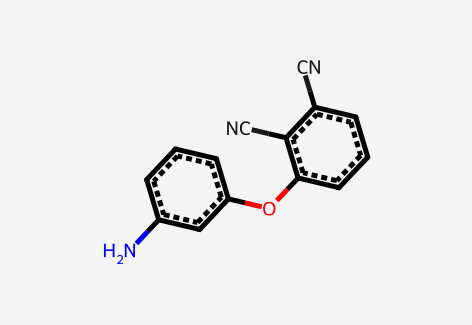 N#Cc1cccc(Oc2cccc(N)c2)c1C#N